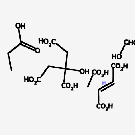 CC(=O)O.CCC(=O)O.O=C(O)/C=C/C(=O)O.O=C(O)CC(O)(CC(=O)O)C(=O)O.O=CO